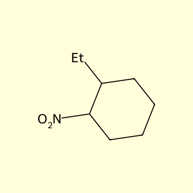 CCC1CCCCC1[N+](=O)[O-]